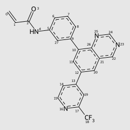 C=CC(=O)Nc1cccc(-c2cc(-c3ccnc(C(F)(F)F)c3)cc3cncnc23)c1